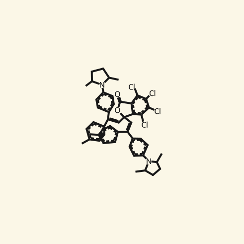 Cc1ccc(C(=CC2(C=C(c3ccc(C)cc3)c3ccc(N4C(C)CCC4C)cc3)OC(=O)c3c(Cl)c(Cl)c(Cl)c(Cl)c32)c2ccc(N3C(C)CCC3C)cc2)cc1